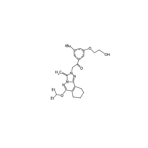 C=C1N(CC(=O)c2cc(OCCO)cc(C(C)(C)C)c2)N=C2C3=C(CCCC3)C(OC(CC)CC)=NN12